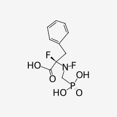 O=C(O)[C@](F)(Cc1ccccc1)N(F)CP(=O)(O)O